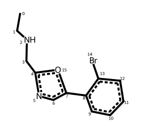 CCNCc1ncc(-c2ccccc2Br)o1